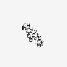 CNc1ccc2c(c1)oc(=O)c1cc(OC3CCOCC3)ccc12